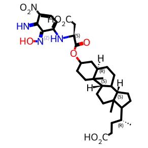 C[C@H](CCC(=O)O)C1CC[C@H]2C3CC[C@@H]4CC(OC(=O)[C@H](CC(=O)O)NC5=CC=C([N+](=O)[O-])C(=N)/C5=N\O)CCC4(C)[C@H]3CCC12C